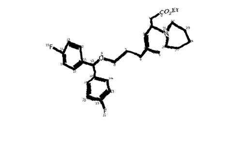 CCOC(=O)CC(C=C(C)CCCOC(c1ccc(F)cc1)c1ccc(F)cc1)N1CCCCC1